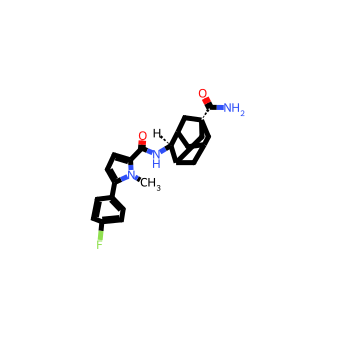 Cn1c(C(=O)N[C@H]2C3CC4CC2C[C@](C(N)=O)(C4)C3)ccc1-c1ccc(F)cc1